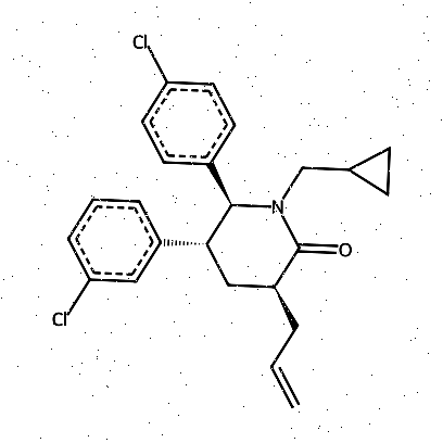 C=CC[C@H]1C[C@H](c2cccc(Cl)c2)[C@@H](c2ccc(Cl)cc2)N(CC2CC2)C1=O